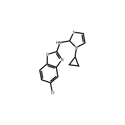 Clc1ccc2oc(NC3SC=CN3C3CC3)nc2c1